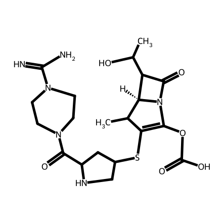 CC(O)C1C(=O)N2C(OC(=O)O)=C(SC3CNC(C(=O)N4CCN(C(=N)N)CC4)C3)C(C)[C@@H]12